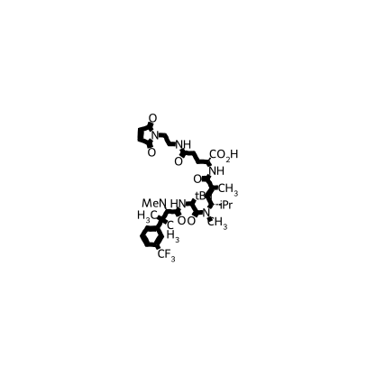 CN[C@H](C(=O)NC(C(=O)N(C)[C@H](/C=C(\C)C(=O)N[C@H](CCC(=O)NCCN1C(=O)C=CC1=O)C(=O)O)C(C)C)C(C)(C)C)C(C)(C)c1cccc(C(F)(F)F)c1